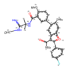 CNC(=O)c1c(-c2ccc(F)cc2)oc2cc(OCC(C)C)c(-c3ccc(OC)c(C(=O)NC(C)(C)C(=N)NC=O)c3)cc12